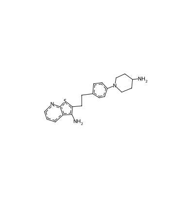 Nc1c(CCc2ccc(N3CCC(N)CC3)cc2)sc2ncccc12